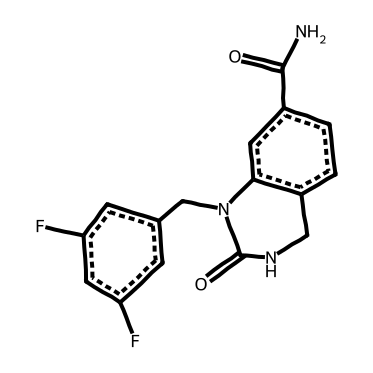 NC(=O)c1ccc2c(c1)N(Cc1cc(F)cc(F)c1)C(=O)NC2